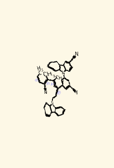 C\C=C/C(C#N)=C(C)/C(C)=C/C(=C\Cn1c2c(c3ccccc31)C=CCC2)c1cc(C#N)cc(-n2c3c(c4cc(C#N)ccc42)CCC=C3)c1